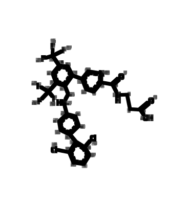 O=C(O)CCNC(=O)c1ccc(-c2cc(C(F)(F)F)cc(C(F)(F)F)c2CNc2ccc(-c3c(Cl)cccc3Cl)cc2)cn1